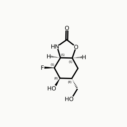 O=C1N[C@@H]2[C@H](F)[C@H](O)[C@@H](CO)C[C@@H]2O1